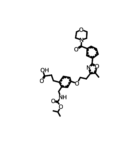 Cc1oc(-c2cccc(C(=O)N3CCOCC3)c2)nc1CCOc1ccc(CCC(=O)O)c(CNC(=O)OC(C)C)c1